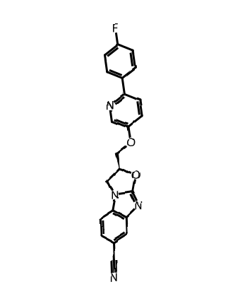 N#Cc1ccc2c(c1)nc1n2C[C@@H](COc2ccc(-c3ccc(F)cc3)nc2)O1